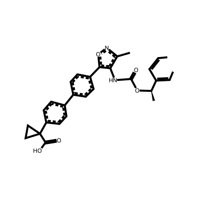 C/C=C\C(=C/C)[C@@H](C)OC(=O)Nc1c(C)noc1-c1ccc(-c2ccc(C3(C(=O)O)CC3)cc2)cc1